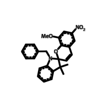 COc1cc([N+](=O)[O-])cc2c1OC1(C=C2)N(Cc2ccccc2)c2ccccc2C1(C)C